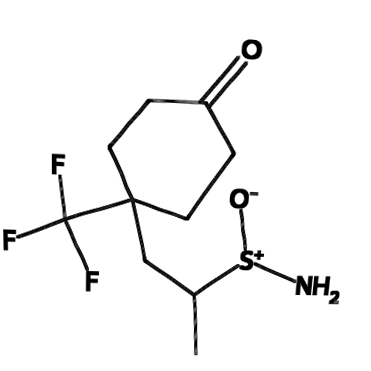 CC(CC1(C(F)(F)F)CCC(=O)CC1)[S+](N)[O-]